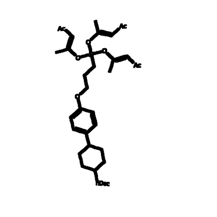 CCCCCCCCCCC1CCC(c2ccc(OCCC[Si](OC(C)=CC(C)=O)(OC(C)=CC(C)=O)OC(C)=CC(C)=O)cc2)CC1